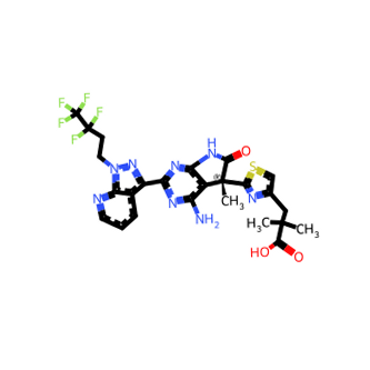 CC(C)(Cc1csc([C@@]2(C)C(=O)Nc3nc(-c4nn(CCC(F)(F)C(F)(F)F)c5ncccc45)nc(N)c32)n1)C(=O)O